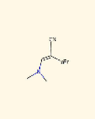 CCC/C(C#N)=C\N(C)C